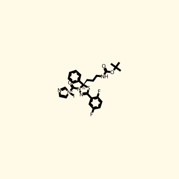 CC(C)(C)OC(=O)NCCC[C@@]1(c2ccccc2)SC(c2cc(F)ccc2F)=NN1C(=O)[N+]1(I)C=CN=C1